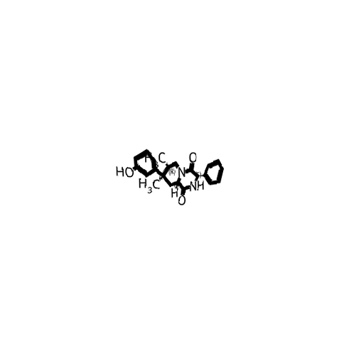 C[C@H]1CN2C(=O)[C@H](c3ccccc3)NC(=O)[C@H]2C[C@@]1(C)c1cccc(O)c1